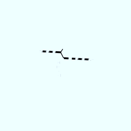 Cl.Cl.N=[N+]=[N+]=C=CC(Cl)=[N+]=[N+]=N.[Cl-].[Cl-].[Cl-].[Cl-]